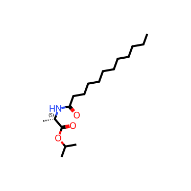 CCCCCCCCCCCC(=O)N[C@@H](C)C(=O)OC(C)C